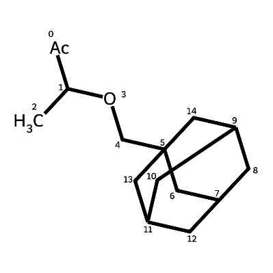 CC(=O)C(C)OCC12CC3CC(CC(C3)C1)C2